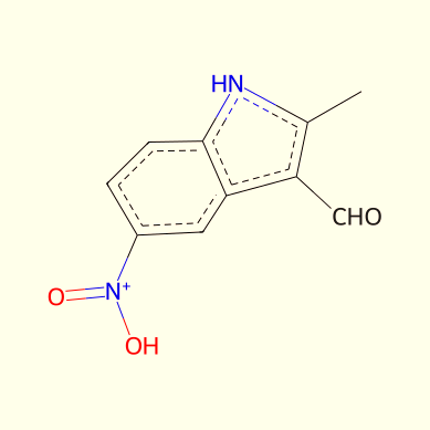 Cc1[nH]c2ccc([N+](=O)O)cc2c1C=O